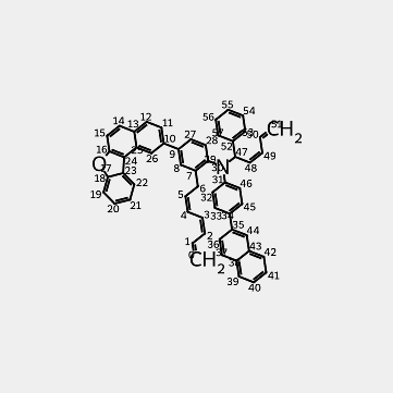 C=C/C=C\C=C/Cc1cc(-c2ccc3ccc4oc5ccccc5c4c3c2)ccc1N(c1ccc(-c2ccc3ccccc3c2)cc1)C(/C=C\C=C)c1ccccc1